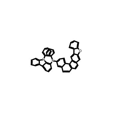 c1ccc(N(c2ccc3c(ccc4ccc5cc6oc7ccccc7c6cc5c43)c2)c2cccc3c4ccccc4n(-c4ccccc4)c23)cc1